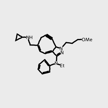 CCN(C1=NN(CCCOC)C2C#CC/C(CNC3CC3)=C\C=C\12)c1ccccc1